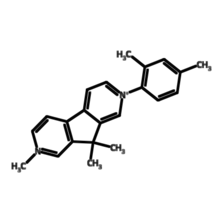 Cc1ccc(-[n+]2ccc3c(c2)C(C)(C)c2c[n+](C)ccc2-3)c(C)c1